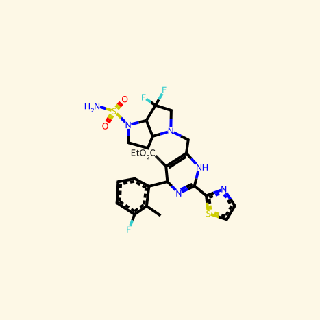 CCOC(=O)C1=C(CN2CC(F)(F)C3C2CCN3S(N)(=O)=O)NC(c2nccs2)=NC1c1cccc(F)c1C